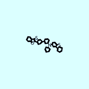 c1ccc(N(c2cccc(-c3ccc4c(c3)sc3c5ccccc5oc43)c2)c2ccc3sc4ccccc4c3c2)cc1